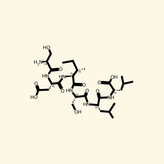 CC[C@H](C)[C@H](NC(=O)[C@H](CC(=O)O)NC(=O)[C@@H](N)CO)C(=O)N[C@@H](CO)C(=O)N[C@@H](CC(C)C)C(=O)N[C@@H](CC(C)C)C(=O)O